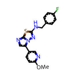 COc1ccc(-c2cnc3sc(NCc4ccc(F)cc4)nn23)cn1